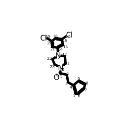 O=C(CCc1ccccc1)N1CCN(c2cc(Cl)cc(Cl)c2)CC1